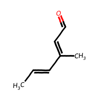 CC=CC(C)=CC=O